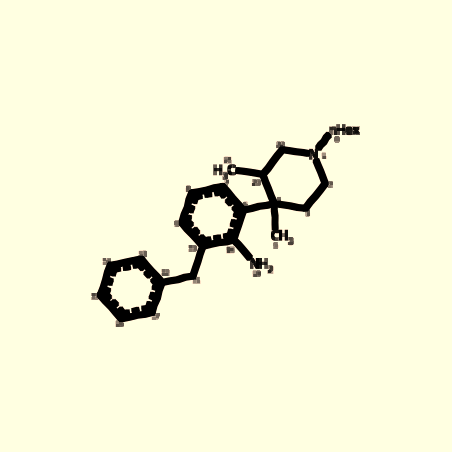 CCCCCCN1CCC(C)(c2cccc(Cc3ccccc3)c2N)C(C)C1